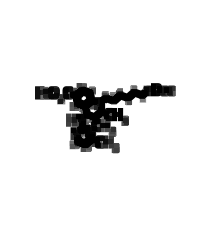 CCCCCCCCCCCCCCCCN1c2ccc(C(=O)OCC)cc2[C@H](Nc2nccc(C)n2)[C@@H](C)[C@@H]1C